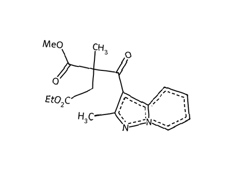 CCOC(=O)CC(C)(C(=O)OC)C(=O)c1c(C)nn2ccccc12